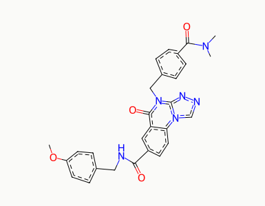 COc1ccc(CNC(=O)c2ccc3c(c2)c(=O)n(Cc2ccc(C(=O)N(C)C)cc2)c2nncn32)cc1